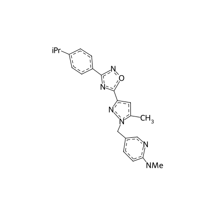 CNc1ccc(Cn2nc(-c3nc(-c4ccc(C(C)C)cc4)no3)cc2C)cn1